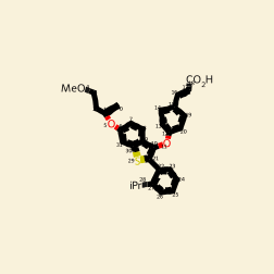 C=C(CCOC)Oc1ccc2c(Oc3ccc(/C=C/C(=O)O)cc3)c(-c3ccccc3C(C)C)sc2c1